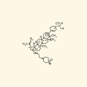 C=C(C)[C@@H]1CC[C@]2(NCCN3CCS(=O)(=O)CC3)CC[C@]3(C)[C@H](CC[C@@H]4[C@@]5(C)CC=C(C6=CC[C@@](CCF)(C(=O)O)CC6)C(C)(C)[C@@H]5CC[C@]43C)[C@@H]12